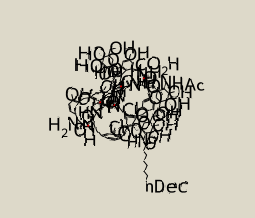 CCCCCCCCCCCCCCCCCC(=O)NC1[C@H](Oc2c3cc4cc2Oc2ccc(cc2Cl)[C@@H](O[C@@H]2OC(CO)[C@@H](O)C(O)[C@@H]2NC(C)=O)[C@@H]2NC(=O)[C@H](NC(=O)[C@@H]4NC(=O)[C@H]4NC(=O)[C@@H](Cc5ccc(c(Cl)c5)O3)NC(=O)[C@H](N)c3ccc(O)c(c3)Oc3cc(O)cc4c3)c3ccc(O)c(c3)-c3c(O[C@H]4OC(CO)[C@@H](O)[C@@H](O)C4O)cc(O)cc3[C@@H](C(=O)O)NC2=O)OC(CO)[C@@H](O)[C@@H]1O